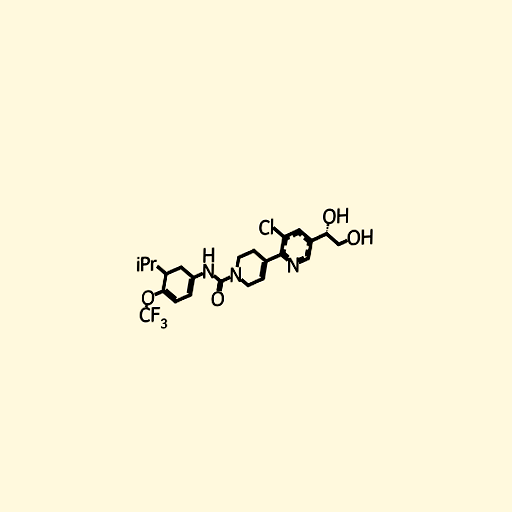 CC(C)C1CC(NC(=O)N2CC=C(c3ncc([C@H](O)CO)cc3Cl)CC2)=CC=C1OC(F)(F)F